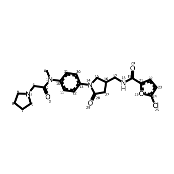 CN(C(=O)CN1CCCC1)c1ccc(N2CC(CNC(=O)c3ccc(Cl)o3)CC2=O)cc1